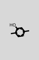 Cc1[c]cc(C)c(O)c1